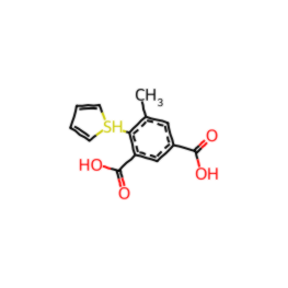 Cc1cc(C(=O)O)cc(C(=O)O)c1[SH]1C=CC=C1